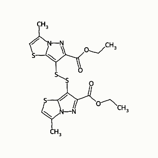 CCOC(=O)c1nn2c(C)csc2c1SSc1c(C(=O)OCC)nn2c(C)csc12